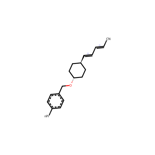 CCCc1ccc(CO[C@H]2CC[C@H](/C=C/C=C/C#N)CC2)cc1